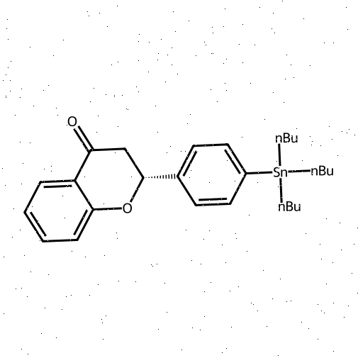 CCC[CH2][Sn]([CH2]CCC)([CH2]CCC)[c]1ccc([C@H]2CC(=O)c3ccccc3O2)cc1